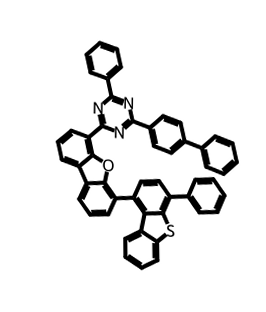 c1ccc(-c2ccc(-c3nc(-c4ccccc4)nc(-c4cccc5c4oc4c(-c6ccc(-c7ccccc7)c7sc8ccccc8c67)cccc45)n3)cc2)cc1